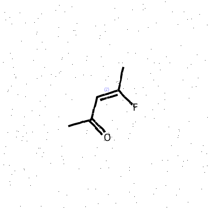 CC(=O)/C=C(/C)F